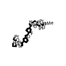 CCCN(Cc1ncc(-c2ccc(-c3cc4cc(-c5cnc([C@@H]6CCCN6C(=O)CC(C)C)[nH]5)ccc4o3)c(F)c2)[nH]1)C(=O)[C@@H](NC(=O)OC)C(C)C